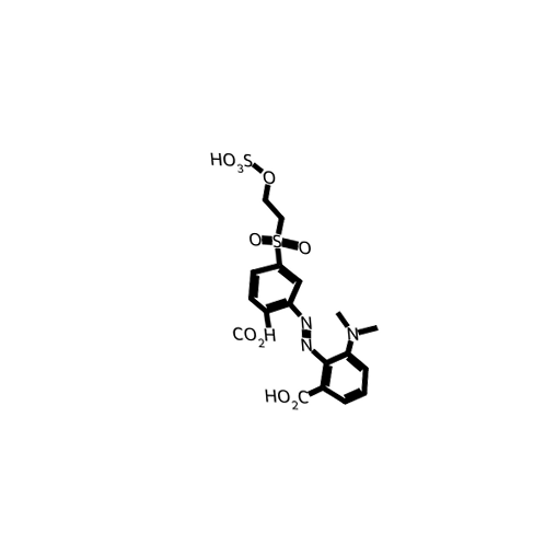 CN(C)c1cccc(C(=O)O)c1N=Nc1cc(S(=O)(=O)CCOS(=O)(=O)O)ccc1C(=O)O